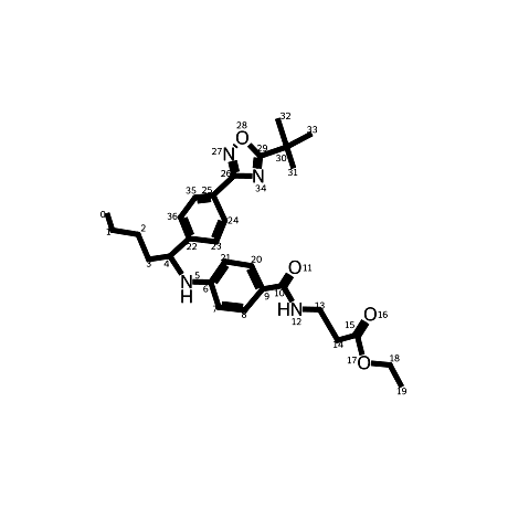 CCCCC(Nc1ccc(C(=O)NCCC(=O)OCC)cc1)c1ccc(-c2noc(C(C)(C)C)n2)cc1